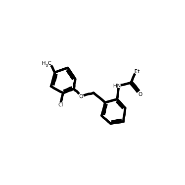 CCC(=O)Nc1ccccc1COc1ccc(C)cc1Cl